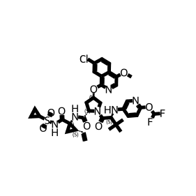 C=C[C@@H]1C[C@]1(NC(=O)[C@@H]1C[C@@H](Oc2ncc(OC)c3ccc(Cl)cc23)CN1C(=O)[C@@H](Nc1ccc(OC(F)F)nc1)C(C)(C)C)C(=O)NS(=O)(=O)C1CC1